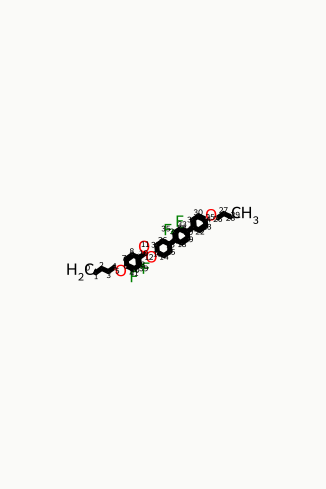 C=CCCCOc1ccc(C(=O)OC2CCC(c3ccc(-c4ccc(OCCCC)cc4)c(F)c3F)CC2)c(F)c1F